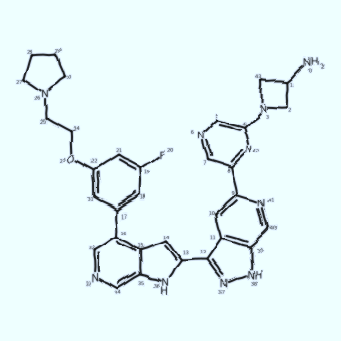 NC1CN(c2cncc(-c3cc4c(-c5cc6c(-c7cc(F)cc(OCCN8CCCC8)c7)cncc6[nH]5)n[nH]c4cn3)n2)C1